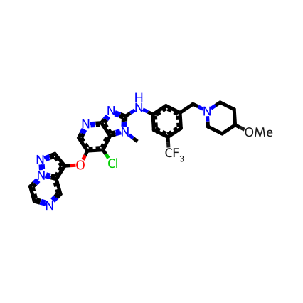 COC1CCN(Cc2cc(Nc3nc4ncc(Oc5cnn6ccncc56)c(Cl)c4n3C)cc(C(F)(F)F)c2)CC1